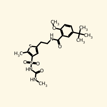 CNC(=O)NS(=O)(=O)c1cc(CCNC(=O)c2cc(C(C)(C)C)ccc2OC)sc1C